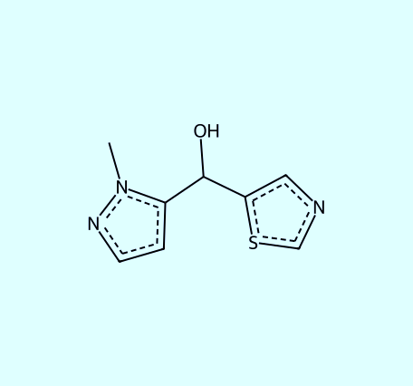 Cn1nccc1C(O)c1cncs1